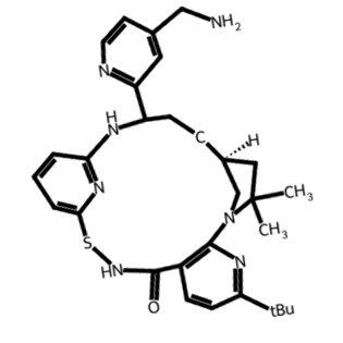 CC(C)(C)c1ccc2c(n1)N1C[C@@H](CCC(c3cc(CN)ccn3)Nc3cccc(n3)SNC2=O)CC1(C)C